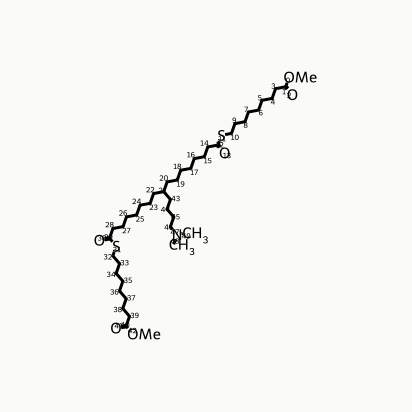 COC(=O)CCCCCCCCSC(=O)CCCCCCCC(CCCCCCCC(=O)SCCCCCCCCC(=O)OC)CCCCN(C)C